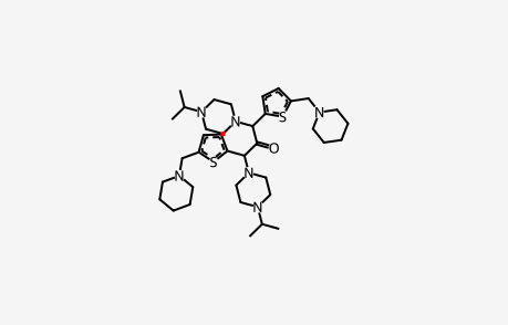 CC(C)N1CCN(C(C(=O)C(c2ccc(CN3CCCCC3)s2)N2CCN(C(C)C)CC2)c2ccc(CN3CCCCC3)s2)CC1